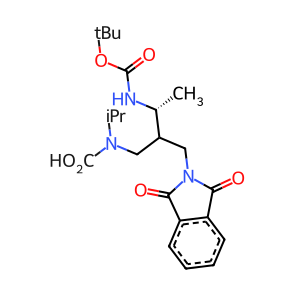 CC(C)N(CC(CN1C(=O)c2ccccc2C1=O)[C@@H](C)NC(=O)OC(C)(C)C)C(=O)O